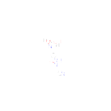 CC(C)(O)C(=O)N1CCC(c2ccc(NC(=O)N3CC(c4cccnc4)C3)cc2)C1